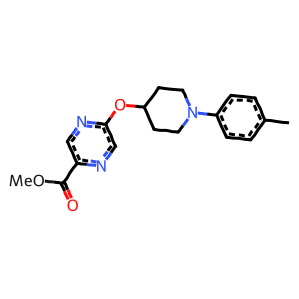 COC(=O)c1cnc(OC2CCN(c3ccc(C)cc3)CC2)cn1